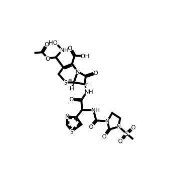 CC(=O)OC(NO)C1=C(C(=O)O)N2C(=O)[C@H](NC(=O)C(NC(=O)N3CCN(S(C)(=O)=O)C3=O)c3cscn3)[C@H]2SC1